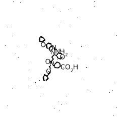 NC1=Nc2ccc(Oc3ccccc3)cc2CN1C(CCC(=O)N(CCOCc1ccccc1)C1CCC(C(=O)O)CC1)C1CCOCC1